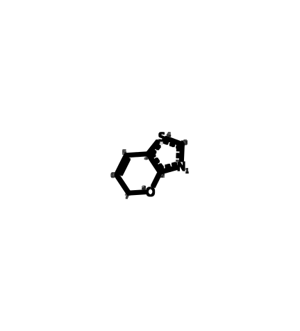 [c]1nc2c(s1)C=CCO2